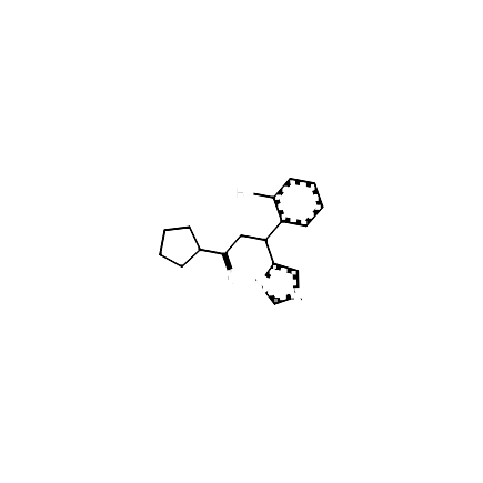 O=C(CC(c1c[nH]cn1)c1ccccc1Br)C1CCCC1